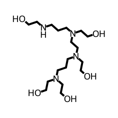 OCCNCCCN(CCO)CCN(CCO)CCCN(CCO)CCO